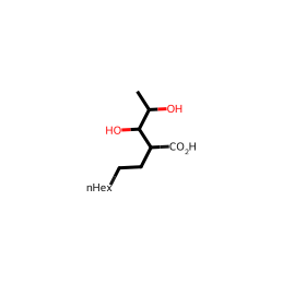 CCCCCCCCC(C(=O)O)C(O)C(C)O